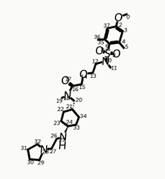 COc1cc(C)c(S(=O)(=O)N(C)CCOCC(=O)N(C)C[C@H]2CC[C@H](NCCN3CCCC3)CC2)c(C)c1